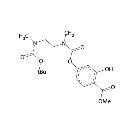 COC(=O)c1ccc(OC(=O)N(C)CCN(C)C(=O)OC(C)(C)C)cc1O